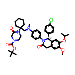 COc1cc2c(cc1OC(C)C)[C@H](c1ccc(Cl)cc1)N(c1ccc(N(C)CC3(N4CCN(C(=O)OC(C)(C)C)CC4=O)CCCCC3)cc1)C(=O)C2